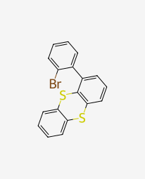 Brc1ccccc1-c1cccc2c1Sc1ccccc1S2